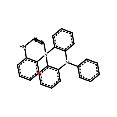 c1ccc(N2c3ccccc3S3(c4ccccc4Nc4ccccc43)c3ccccc32)cc1